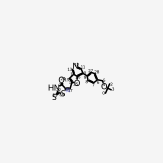 CC(C)(C)OCc1ccc(-c2cncc3cc(/C=C4/SC(=S)NC4=O)oc23)cc1